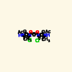 CC(=O)Oc1cc2c(c3c(C)c[nH]c13)[C@H](CCl)CN2C(=O)C12CCC(C(=O)N3C[C@@H](CCl)c4c3cc(OC(C)=O)c3[nH]cc(C)c43)(CC1)C2